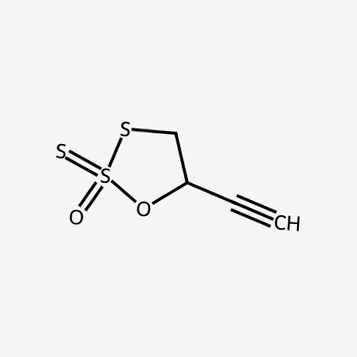 C#CC1CSS(=O)(=S)O1